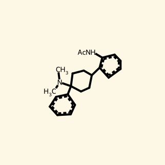 CC(=O)Nc1ccccc1C1CCC(c2ccccc2)(N(C)C)CC1